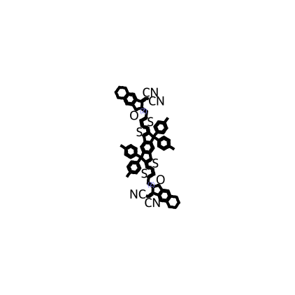 Cc1ccc(C2(c3ccc(C)cc3)c3cc4c(cc3-c3sc5cc(/C=C6\C(=O)c7cc8c(cc7C6=C(C#N)C#N)CCCC8)sc5c32)C(c2ccc(C)cc2)(c2ccc(C)cc2)c2c-4sc3cc(/C=C4\C(=O)c5cc6c(cc5C4=C(C#N)C#N)CCCC6)sc23)cc1